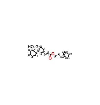 O=C(C=Cc1ccc(C(=O)O)c(-c2ccccc2)c1)OCCCC1CC2C=CC1C2